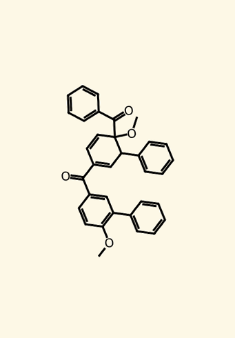 COc1ccc(C(=O)C2=CC(c3ccccc3)C(OC)(C(=O)c3ccccc3)C=C2)cc1-c1ccccc1